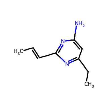 C/C=C/c1nc(N)cc(CC)n1